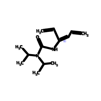 C=C/C=C(\C=C)NC(=O)N(C(C)C)C(C)C